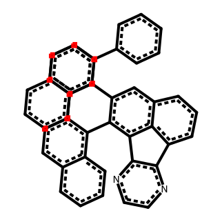 c1ccc(-c2ccc3ccccc3c2-c2cc3cccc4c3c(c2-c2c(-c3ccccc3)ccc3ccccc23)-c2nccnc2-4)cc1